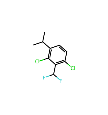 C[C](C)c1ccc(Cl)c(C(F)F)c1Cl